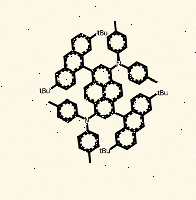 Cc1ccc(N(c2ccc(C)cc2)c2cc(-c3c4ccc(C(C)(C)C)cc4cc4ccc(C(C)(C)C)cc34)c3ccc4c(N(c5ccc(C)cc5)c5ccc(C)cc5)cc(-c5c6ccc(C(C)(C)C)cc6cc6ccc(C(C)(C)C)cc56)c5ccc2c3c54)cc1